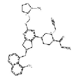 C=CC(=O)N1CCN(c2nc(OC[C@@H]3CCCN3C)nc3c2CN(Cc2cccc4cccc(C)c24)C3)C[C@@H]1CC#N